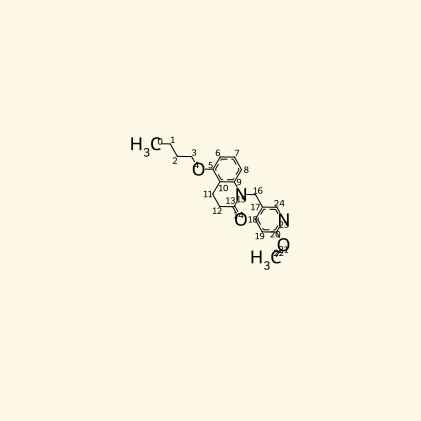 CCCCOc1cccc2c1CCC(=O)N2Cc1ccc(OC)nc1